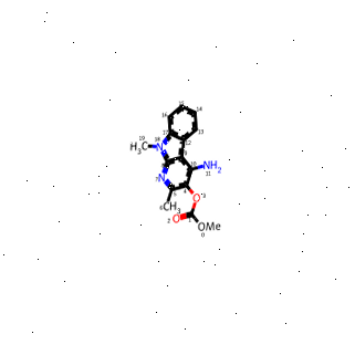 COC(=O)Oc1c(C)nc2c(c1N)c1ccccc1n2C